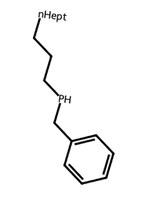 CCCCCCCCCCPCc1ccccc1